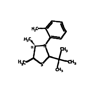 Cc1ccccc1N1C(C(C)(C)C)SC(C)[C@@H]1C